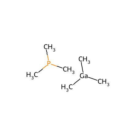 CP(C)C.[CH3][Ga]([CH3])[CH3]